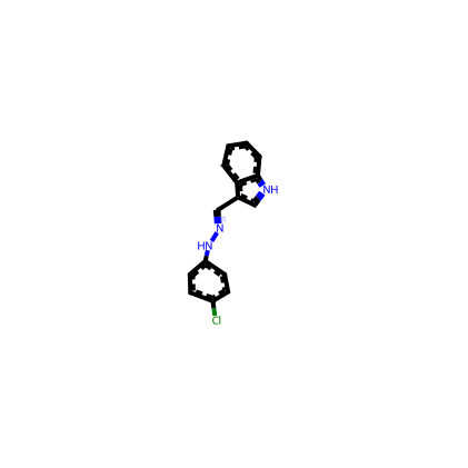 Clc1ccc(N/N=C/c2c[nH]c3ccc[c]c23)cc1